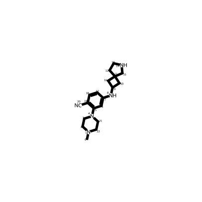 CN1CCN(c2cc(NC3CC4(CCNC4)C3)ccc2C#N)CC1